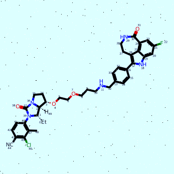 CC[C@H]1[C@@H]2[C@@H](OCCOCCCNCc3ccc(-c4[nH]c5cc(F)cc6c5c4CCNC6=O)cc3)CCN2C(=O)N1c1ccc(C#N)c(Cl)c1C